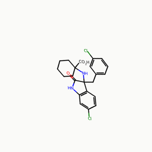 O=C(O)C1(NC2(Cc3cccc(Cl)c3)C(=O)Nc3cc(Cl)ccc32)CCCCC1